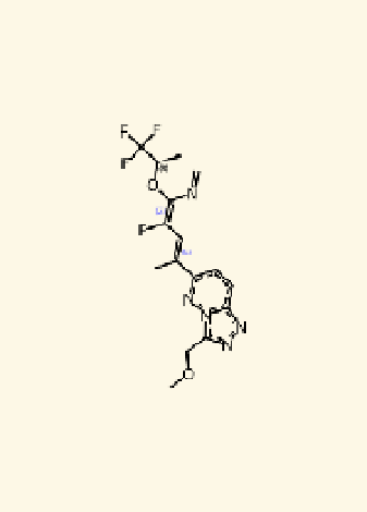 C=N/C(O[C@H](C)C(F)(F)F)=C(F)\C=C(/C)c1ccc2nnc(COC)n2n1